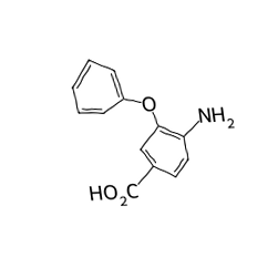 Nc1ccc(C(=O)O)cc1Oc1ccccc1